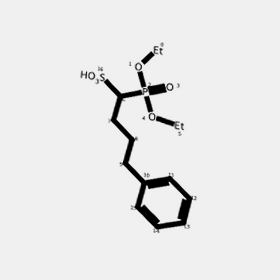 CCOP(=O)(OCC)C(CCCc1ccccc1)S(=O)(=O)O